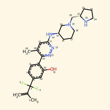 C=C(C)C(F)(F)c1ccc(-c2nnc(N[C@@H]3CCCN(C[C@@H]4CCCN4)C3)cc2C)c(O)c1